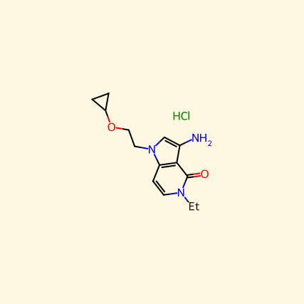 CCn1ccc2c(c(N)cn2CCOC2CC2)c1=O.Cl